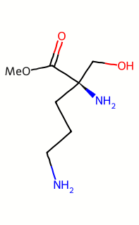 COC(=O)[C@](N)(CO)CCCN